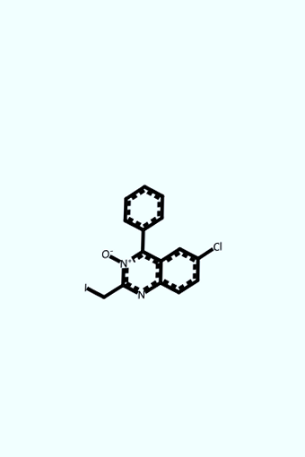 [O-][n+]1c(CI)nc2ccc(Cl)cc2c1-c1ccccc1